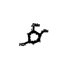 CCC(C)c1ccc(O)cc1OC